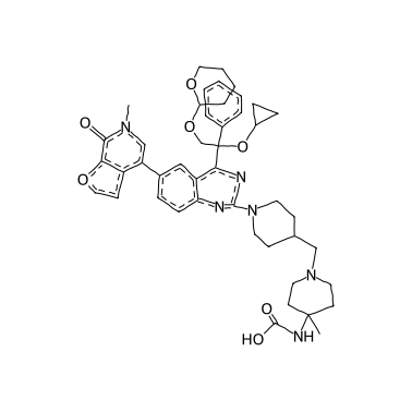 Cn1cc(-c2ccc3nc(N4CCC(CN5CCC(C)(NC(=O)O)CC5)CC4)nc(C(COC4CCCCO4)(OC4CC4)c4ccccc4)c3c2)c2ccoc2c1=O